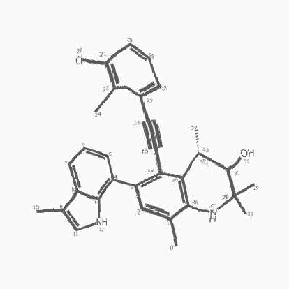 Cc1cc(-c2cccc3c(C)c[nH]c23)c(C#Cc2cccc(Cl)c2C)c2c1NC(C)(C)C(O)[C@H]2C